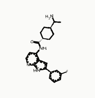 CC(N)[C@H]1CC[C@H](C(=O)Nc2ccnc3[nH]c(-c4cccc(F)c4)cc23)CC1